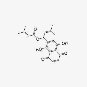 CC(C)=CC(=O)OC(C=C(C)C)c1cc(O)c2c(c1O)C(=O)C=CC2=O